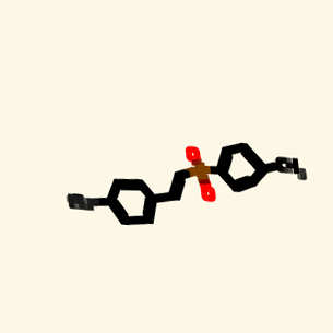 Cc1ccc(S(=O)(=O)C=Cc2ccc(C(C)(C)C)cc2)cc1